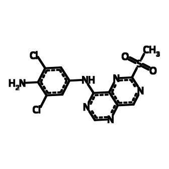 CS(=O)(=O)c1ncc2ncnc(Nc3cc(Cl)c(N)c(Cl)c3)c2n1